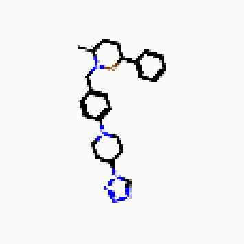 C[C@H]1CCC(c2ccccc2)SN1Cc1ccc(N2CCC(n3cnnn3)CC2)cc1